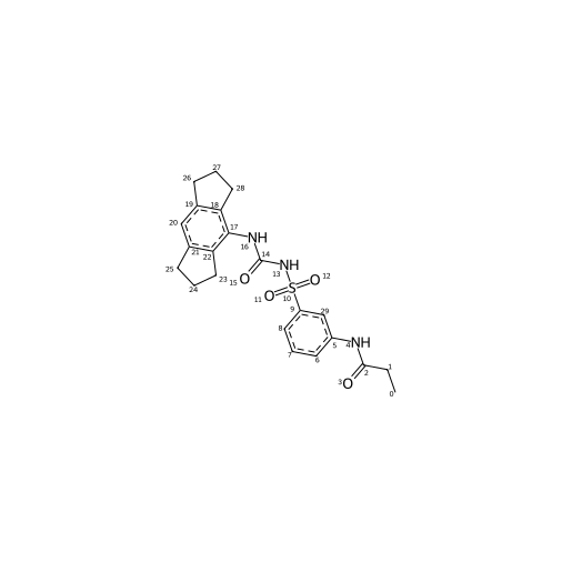 CCC(=O)Nc1cccc(S(=O)(=O)NC(=O)Nc2c3c(cc4c2CCC4)CCC3)c1